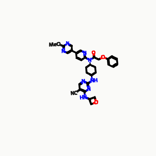 COc1ncc(-c2ccc(N(C(=O)COc3ccccc3)[C@H]3CC[C@H](Nc4ncc(C#N)c(NC5COC5)n4)CC3)nc2)cn1